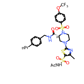 CCCc1ccc(CNC(=O)[C@H]2CN(c3nc(C)c(S(=O)(=O)NC(C)=O)s3)CCN2S(=O)(=O)c2ccc(OC(F)(F)F)cc2)cc1